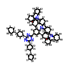 c1ccc(-c2ccc(-c3nc(-c4ccc(-c5ccccc5)cc4)nc(-c4cc(-c5ccccc5)c(-n5c6cc(-n7c8ccccc8c8ccccc87)ccc6c6ccc(-n7c8ccccc8c8ccccc87)cc65)c(-c5ccccc5)c4)n3)cc2)cc1